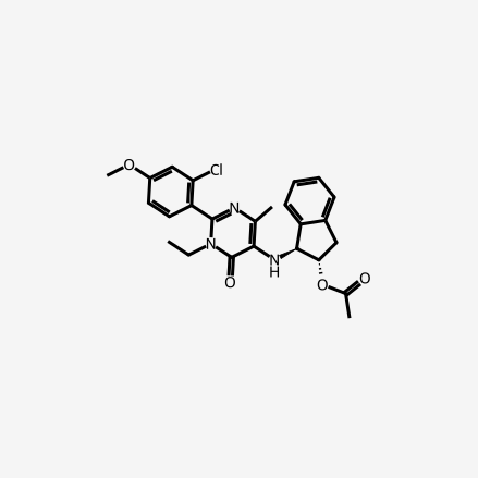 CCn1c(-c2ccc(OC)cc2Cl)nc(C)c(N[C@H]2c3ccccc3C[C@@H]2OC(C)=O)c1=O